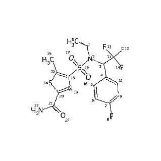 CCN(C(c1ccc(F)cc1)C(F)(F)F)S(=O)(=O)c1nc(C(N)=O)sc1C